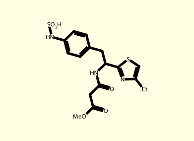 CCc1csc(C(Cc2ccc(NS(=O)(=O)O)cc2)NC(=O)CC(=O)OC)n1